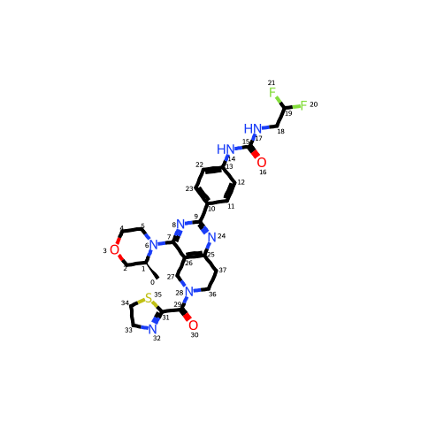 C[C@H]1COCCN1c1nc(-c2ccc(NC(=O)NCC(F)F)cc2)nc2c1CN(C(=O)C1=NCCS1)CC2